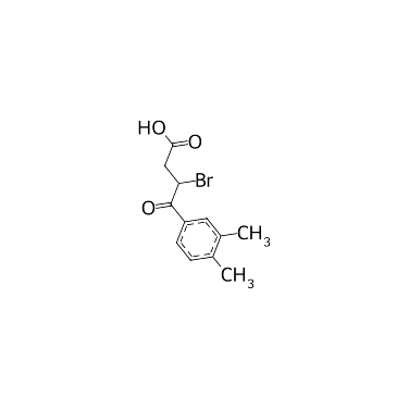 Cc1ccc(C(=O)C(Br)CC(=O)O)cc1C